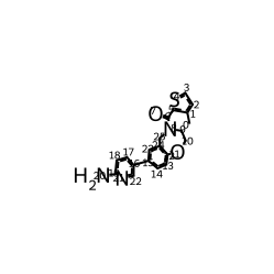 Cc1ccsc1C(=O)N1CCOc2ccc(-c3ccc(N)nc3)cc2C1